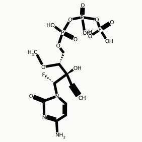 C#C[C@@](O)([C@@H](COP(=O)(O)OP(=O)(O)OP(=O)(O)O)OC)[C@@H](F)n1ccc(N)nc1=O